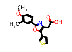 COc1ccc(-c2nc(CC(=O)O)c(-c3ccsc3)o2)cc1C